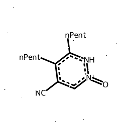 CCCCCc1[nH][n+](=O)cc(C#N)c1CCCCC